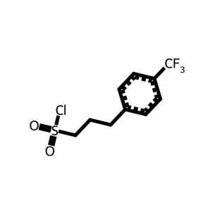 O=S(=O)(Cl)CCCc1ccc(C(F)(F)F)cc1